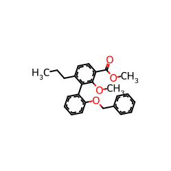 CCCc1ccc(C(=O)OC)c(OC)c1-c1ccccc1OCc1ccccc1